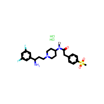 CCN(C(=O)Cc1ccc(S(C)(=O)=O)cc1)C1CCN(CCC(N)c2cc(F)cc(F)c2)CC1.Cl.Cl